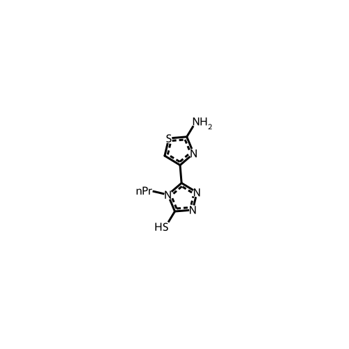 CCCn1c(S)nnc1-c1csc(N)n1